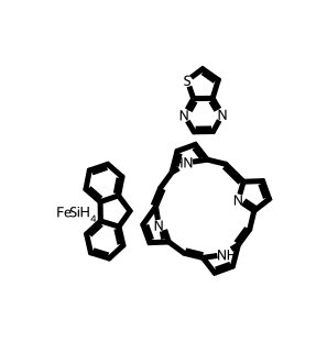 C1=Cc2cc3ccc(cc4nc(cc5ccc(cc1n2)[nH]5)C=C4)[nH]3.[Fe].[SiH4].c1ccc2c(c1)Cc1ccccc1-2.c1cnc2sccc2n1